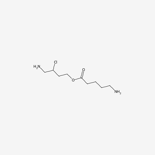 NCCCCC(=O)OCCC(Cl)CN